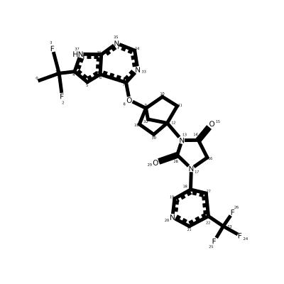 CC(F)(F)c1cc2c(OC34CCC(N5C(=O)CN(c6cncc(C(F)(F)F)c6)C5=O)(CC3)C4)ncnc2[nH]1